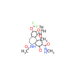 [2H]C([2H])([2H])Oc1c(OC(F)F)cc2c(c1OC)-c1ccc(C(=O)NC)c(=O)cc1C(NC(C)=O)CC2